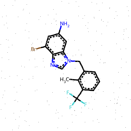 Cc1c(Cn2cnc3c(Br)cc(N)cc32)cccc1C(F)(F)F